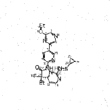 CCOc1cncc(-c2ccc(NC(=O)C(F)(CC)c3ccnc(NSC4CC4)n3)nc2)n1